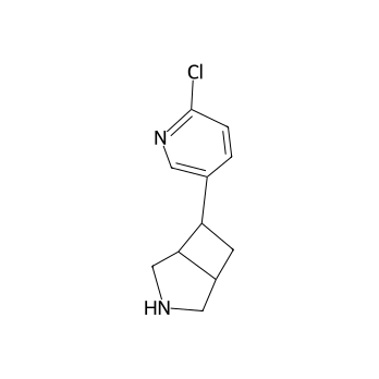 Clc1ccc(C2CC3CNCC32)cn1